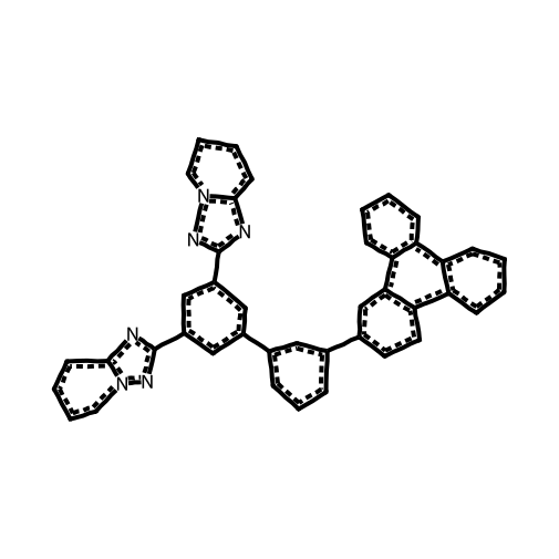 c1cc(-c2cc(-c3nc4ccccn4n3)cc(-c3nc4ccccn4n3)c2)cc(-c2ccc3c4ccccc4c4ccccc4c3c2)c1